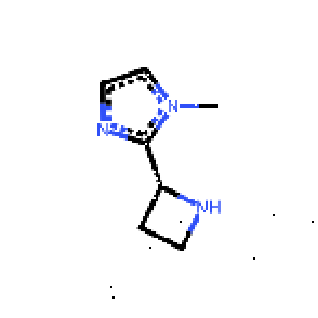 Cn1ccnc1C1CCN1